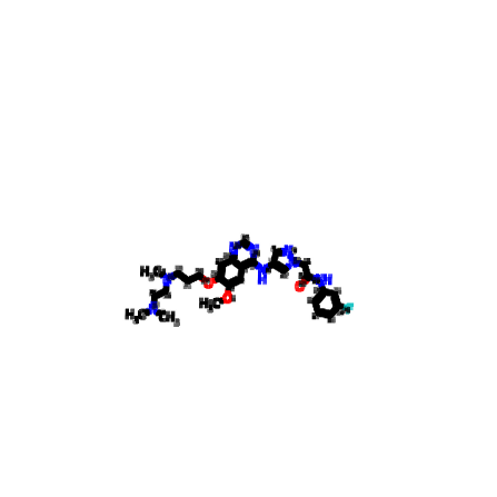 COc1cc2c(Nc3cnn(CC(=O)Nc4cccc(F)c4)c3)ncnc2cc1OCCCN(C)CCN(C)C